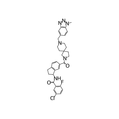 Cn1nnc2cc(CN3CCC4(CC3)CCN(C(=O)c3ccc5c(c3)C(NC(=O)c3cc(Cl)ccc3F)CC5)C4)ccc21